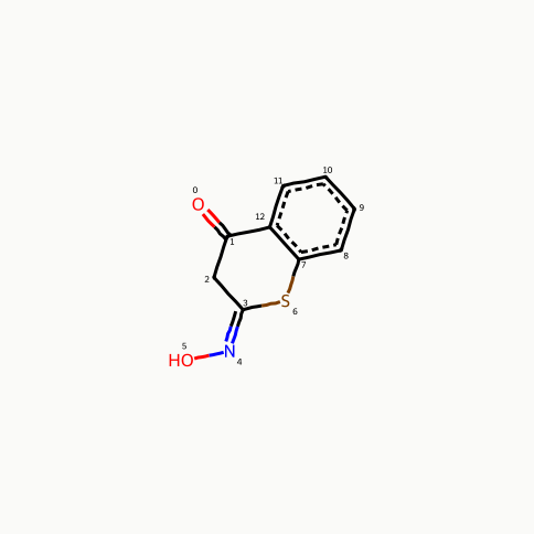 O=C1CC(=NO)Sc2ccccc21